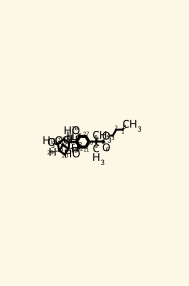 CCCCOC(=O)C(C)(C)c1cc(O)c([C@@H]2CC(=O)[C@@H]3C[C@H]2C3(C)C)c(O)c1